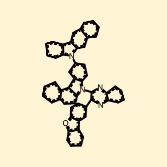 c1ccc2cc3c(cc2c1)c1ccccc1n3-c1ccc2c(c1)c1c3ccccc3ccc1n2-c1nc2ccccc2nc1-c1ccc2oc3ccccc3c2c1